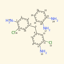 Nc1ccc(Cc2ccc(N)c(Cl)c2)cc1Cl.Nc1ccccc1N